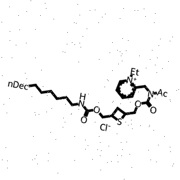 CCCCCCCCCCCCCCCCNC(=O)OCC1CC(COC(=O)N(Cc2cccc[n+]2CC)C(C)=O)S1.[Cl-]